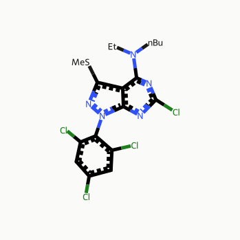 CCCCN(CC)c1nc(Cl)nc2c1c(SC)nn2-c1c(Cl)cc(Cl)cc1Cl